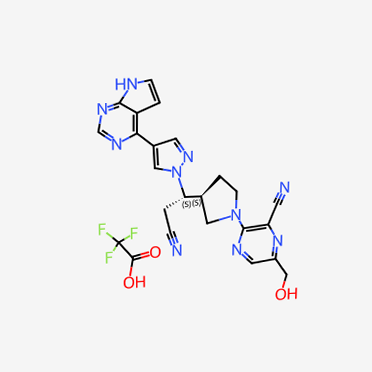 N#CC[C@@H]([C@H]1CCN(c2ncc(CO)nc2C#N)C1)n1cc(-c2ncnc3[nH]ccc23)cn1.O=C(O)C(F)(F)F